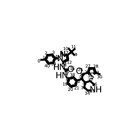 Cc1ccc(-n2nc(C(C)(C)C)cc2NC(=O)Nc2cccc(C(C(=O)c3ccc(C)s3)C3CCNCC3)c2)cc1